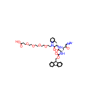 [N-]=[N+]=CC(=O)CC[C@H](NC(=O)OCC1c2ccccc2-c2ccccc21)C(=O)N[C@@H](Cc1ccccc1)C(=O)NCCOCCOCCOCCOCCC(=O)O